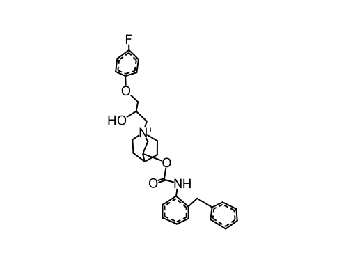 O=C(Nc1ccccc1Cc1ccccc1)OC1C[N+]2(CC(O)COc3ccc(F)cc3)CCC1CC2